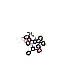 CC1(C)CCC(C)(C)c2cc(-c3cc4c(cc3N(c3ccccc3)c3cc(-c5ccccc5)cc(-c5ccccc5)c3)C(c3ccccc3)(c3ccccc3)c3ccccc3-4)ccc21